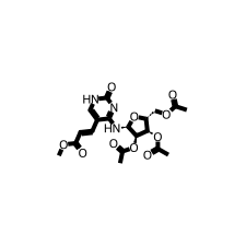 COC(=O)C=Cc1c[nH]c(=O)nc1N[C@@H]1O[C@H](COC(C)=O)[C@H](OC(C)=O)[C@H]1OC(C)=O